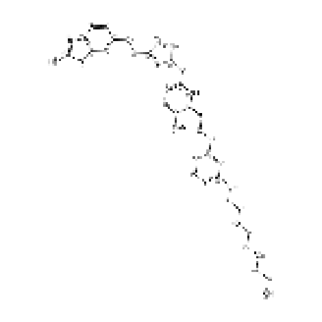 COC(=O)[C@H](COCc1cccc(OCCOCCOCCO)c1)NC(=O)Cn1cc(COc2ccc3nc(S)sc3c2)nn1